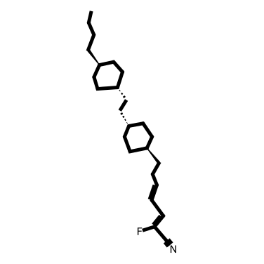 CCCC[C@H]1CC[C@H](CC[C@H]2CC[C@H](CCC=CC=C(F)C#N)CC2)CC1